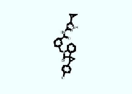 O=C(Nc1cc(C2CC2)[nH]n1)c1cccc(CN2C(=O)C3(CC3c3ccc(Cl)cc3)c3ccccc32)c1